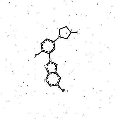 CCC(C)c1cnc2nn(-c3cc(N4CC[C@@H](F)C4)ccc3F)cc2c1